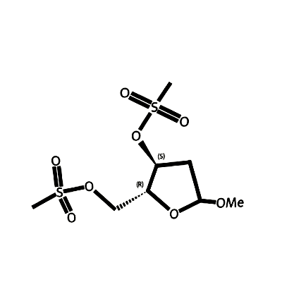 COC1C[C@H](OS(C)(=O)=O)[C@@H](COS(C)(=O)=O)O1